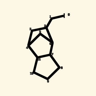 ICC1CC2CC1C1CCCC21